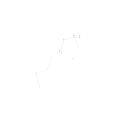 CCCCN1CCNC1C